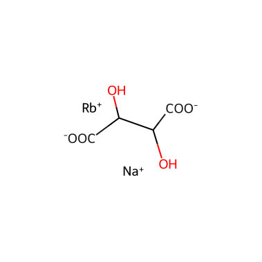 O=C([O-])C(O)C(O)C(=O)[O-].[Na+].[Rb+]